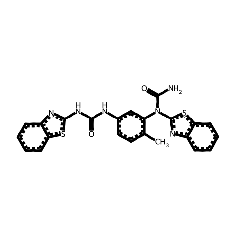 Cc1ccc(NC(=O)Nc2nc3ccccc3s2)cc1N(C(N)=O)c1nc2ccccc2s1